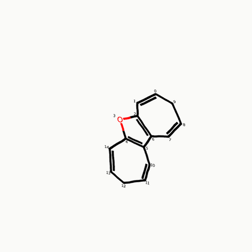 C1=Cc2oc3c(c2C=CC1)C=CCC=C3